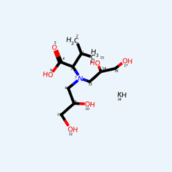 CC(C)C(C(=O)O)N(CC(O)CO)CC(O)CO.[KH]